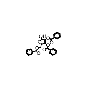 O=C(OC[C@H]1OC(O)C(OC(=O)c2ccccc2)[C@@H]1OC(=O)c1ccccc1)c1ccccc1